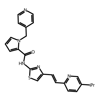 CC(C)c1ccc(/C=C/c2csc(NC(=O)c3cccn3Cc3ccncc3)n2)nc1